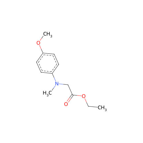 CCOC(=O)CN(C)c1ccc(OC)cc1